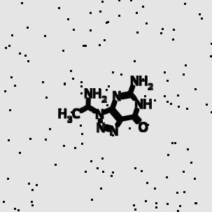 CC(N)n1nnc2c(=O)[nH]c(N)nc21